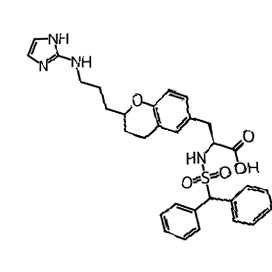 O=C(O)[C@H](Cc1ccc2c(c1)CCC(CCCNc1ncc[nH]1)O2)NS(=O)(=O)C(c1ccccc1)c1ccccc1